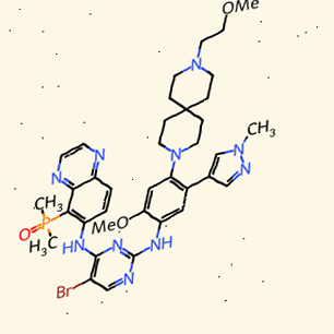 COCCN1CCC2(CC1)CCN(c1cc(OC)c(Nc3ncc(Br)c(Nc4ccc5nccnc5c4P(C)(C)=O)n3)cc1-c1cnn(C)c1)CC2